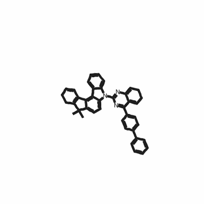 CC1(C)C2=C(C=CCC2)c2c1ccc1c2c2ccccc2n1-c1nc(-c2ccc(-c3ccccc3)cc2)c2c(n1)=CCCC=2